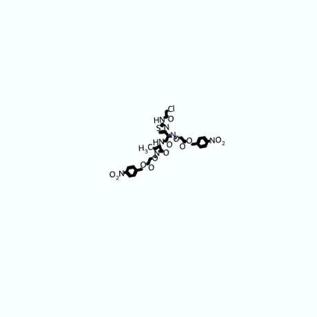 C[C@H]1[C@H](NC(=O)/C(=N\OCC(=O)OCc2ccc([N+](=O)[O-])cc2)c2csc(NC(=O)CCl)n2)C(=O)N1OCC(=O)OCc1ccc([N+](=O)[O-])cc1